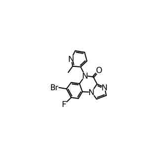 Cc1ncccc1-n1c(=O)c2nccn2c2cc(F)c(Br)cc21